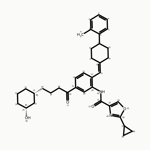 Cc1ccccc1C1CCC(=Cc2ccc(C(=O)CCC[C@H]3CCC[C@@H](O)C3)cc2NC(=O)c2coc(C3CC3)n2)CC1